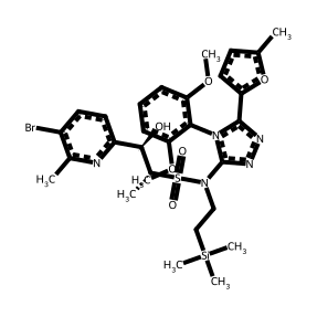 COc1cccc(OC)c1-n1c(-c2ccc(C)o2)nnc1N(CC[Si](C)(C)C)S(=O)(=O)[C@H](C)[C@H](O)c1ccc(Br)c(C)n1